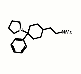 CNCCC1CCC(c2ccccc2)(N2CCCC2)CC1